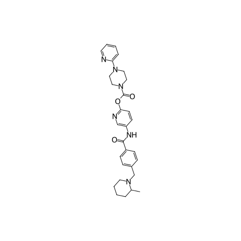 CC1CCCCN1Cc1ccc(C(=O)Nc2ccc(OC(=O)N3CCN(c4ccccn4)CC3)nc2)cc1